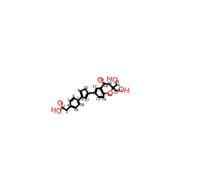 O=C(O)Cc1ccc(C2=CCC(c3ccc4c(c3)C(=O)CC(CO)(CO)O4)=C2)cc1